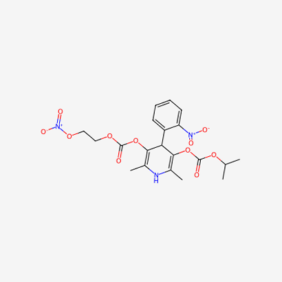 CC1=C(OC(=O)OCCO[N+](=O)[O-])C(c2ccccc2[N+](=O)[O-])C(OC(=O)OC(C)C)=C(C)N1